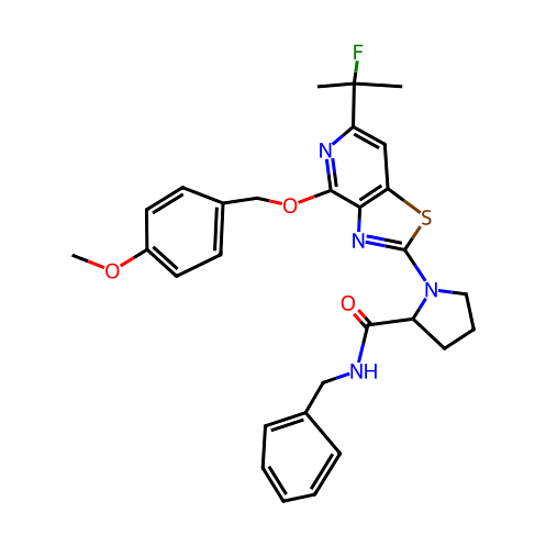 COc1ccc(COc2nc(C(C)(C)F)cc3sc(N4CCCC4C(=O)NCc4ccccc4)nc23)cc1